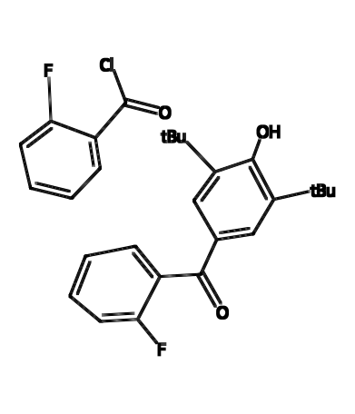 CC(C)(C)c1cc(C(=O)c2ccccc2F)cc(C(C)(C)C)c1O.O=C(Cl)c1ccccc1F